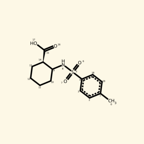 Cc1ccc(S(=O)(=O)NC2CCCC[C@H]2C(=O)O)cc1